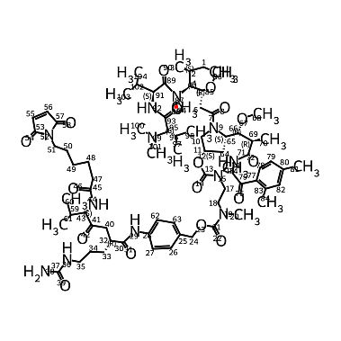 CC[C@H](C)[C@@H]([C@@H](CC(=O)N1C[C@@H](OC(=O)N(C)CCN(C)C(=O)OCc2ccc(NC(=O)[C@H](CCCNC(N)=O)CC(=O)[C@@H](NC(=O)CCCCCN3C(=O)C=CC3=O)C(C)C)cc2)C[C@H]1[C@H](OC)[C@@H](C)C(=O)NCC(=O)c1ccc(C)cc1C)OC)N(C)C(=O)[C@@H](NC(=O)[C@H](C(C)C)N(C)C)C(C)C